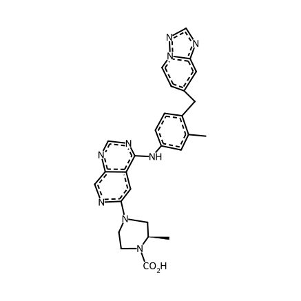 Cc1cc(Nc2ncnc3cnc(N4CCN(C(=O)O)[C@H](C)C4)cc23)ccc1Cc1ccn2ncnc2c1